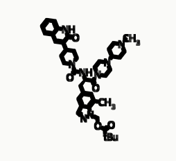 Cc1cc(C[C@@H](NC(=O)N2CCC(c3cc4ccccc4[nH]c3=O)CC2)C(=O)N2CCN(C3CCN(C)CC3)CC2)cc2cnn(COC(=O)C(C)(C)C)c12